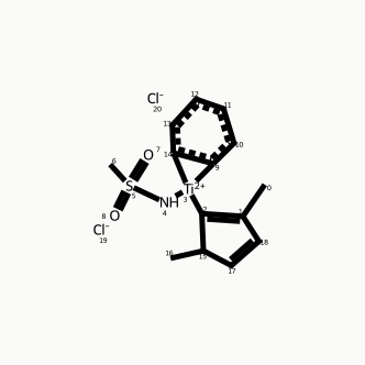 CC1=[C]([Ti+2]2([NH]S(C)(=O)=O)[c]3cccc[c]32)C(C)C=C1.[Cl-].[Cl-]